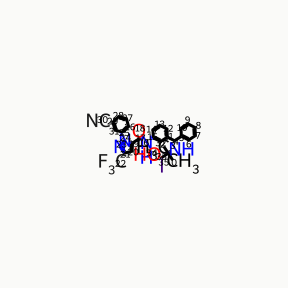 CC(C)(NC(c1ccccc1)c1cccc(NC(=O)c2cc(C(F)(F)F)nn2-c2cccc(C#N)c2)c1)C(O)I